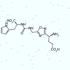 N[C@@H](CCC(=O)O)c1noc(CNC(=O)N[C@@H](Cc2ccc[nH]2)C(=O)O)n1